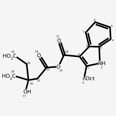 CCCCCCCCc1[nH]c2ccccc2c1C(=O)OC(=O)CC(O)(CC(=O)O)C(=O)O